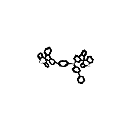 c1ccc(-c2ccc(N(c3ccc(-c4ccc5c(c4)-c4ccccc4C54c5ccccc5Oc5ccccc54)cc3)c3ccc4c(c3)C3(c5ccccc5Oc5ccccc53)c3ccccc3-4)cc2)cc1